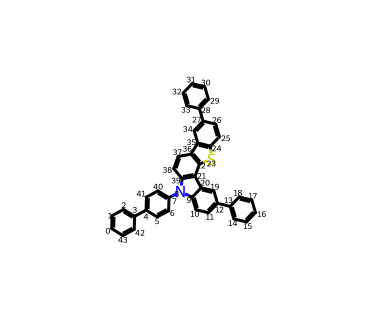 c1ccc(-c2ccc(-n3c4ccc(-c5ccccc5)cc4c4c5sc6ccc(-c7ccccc7)cc6c5ccc43)cc2)cc1